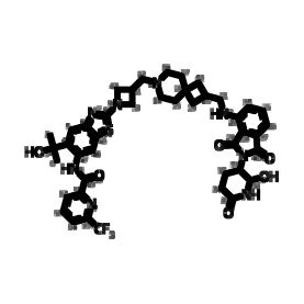 CC(C)(O)c1cc2nc(N3CC(CN4CCC5(CC4)CC(CNc4cccc6c4C(=O)N(C4CCC(=O)NC4O)C6=O)C5)C3)sc2cc1NC(=O)c1cccc(C(F)(F)F)n1